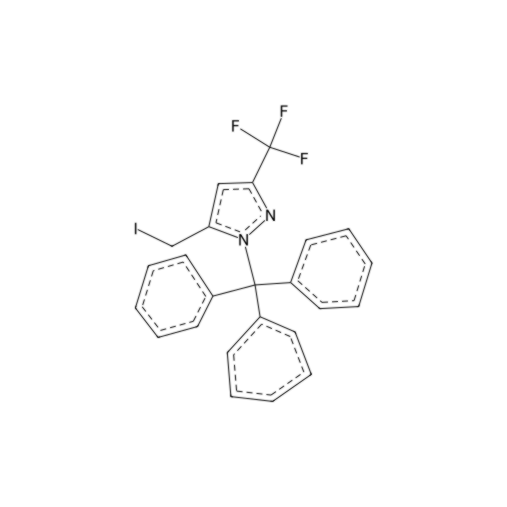 FC(F)(F)c1cc(CI)n(C(c2ccccc2)(c2ccccc2)c2ccccc2)n1